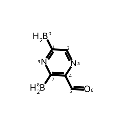 Bc1cnc(C=O)c(B)n1